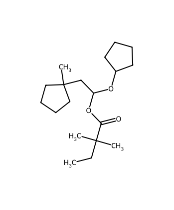 CCC(C)(C)C(=O)OC(CC1(C)CCCC1)OC1CCCC1